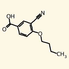 CCCCOc1ccc(C(=O)O)cc1C#N